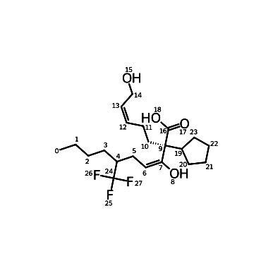 CCCCC(C/C=C(/O)[C@@](CC/C=C\CO)(C(=O)O)C1CCCC1)C(F)(F)F